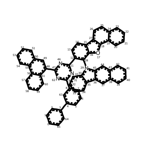 c1ccc(-c2cccc(-c3nc(-c4ccc5c(oc6c7ccccc7ccc56)c4-n4c5ccccc5c5cc6ccccc6cc54)nc(-c4cc5ccccc5c5ccccc45)n3)c2)cc1